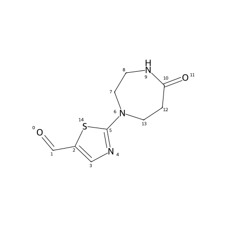 O=Cc1cnc(N2CCNC(=O)CC2)s1